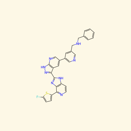 Fc1ccc(-c2nccc3[nH]c(-c4n[nH]c5ncc(-c6cncc(CNCc7ccccc7)c6)cc45)nc23)s1